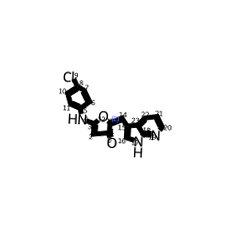 O=C1C=C(Nc2ccc(Cl)cc2)O/C1=C/c1c[nH]c2ncccc12